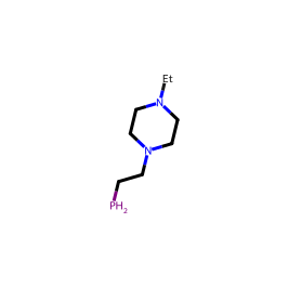 CCN1CCN(CCP)CC1